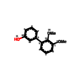 COc1[c]ccc(-c2cccc(O)c2)c1OC